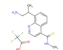 CNC(=S)c1ccnc2c(C(C)CN)cccc12.O=C(O)C(F)(F)F